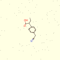 CCC(C(=O)O)c1ccc(CC#N)cc1